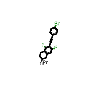 CCCC1CCc2c(cc(F)c(C#Cc3ccc(Br)cc3)c2F)C1